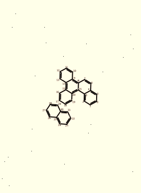 c1ccc2c(c1)ccc1c3ccccc3c3ccccc3c21.c1ccc2ccccc2c1